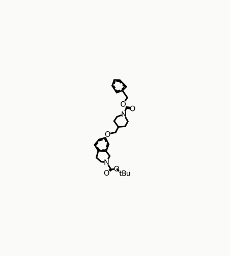 CC(C)(C)OC(=O)N1CCc2ccc(OCC3CCN(C(=O)OCc4ccccc4)CC3)cc2C1